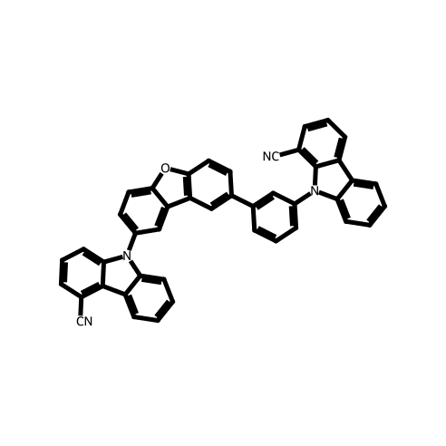 N#Cc1cccc2c1c1ccccc1n2-c1ccc2oc3ccc(-c4cccc(-n5c6ccccc6c6cccc(C#N)c65)c4)cc3c2c1